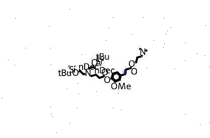 CCCCCCCCCCC(CN(CCCC(=O)Oc1ccc(/C=C/C(=O)OCCCN(C)C)cc1OC)CC(CCCCCCCCCC)O[Si](C)(C)C(C)(C)C)O[Si](C)(C)C(C)(C)C